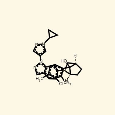 Cc1ccc(C2(O)[C@@H]3CC[C@H]2N(c2cc4c(cnn4-c4cnn(C5CC5)c4)cc2Cl)C3)c(C)n1